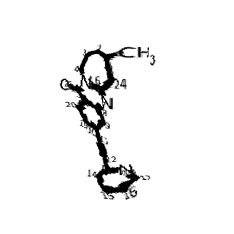 CC1CCCn2c(nc3cc(C#Cc4ccccn4)ccc3c2=O)C1